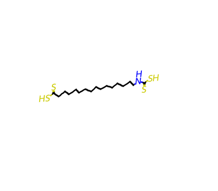 S=C(S)CCCCCCCCCCCCCCCNC(=S)S